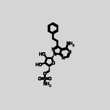 Nc1ncnc2c1c(CCc1ccccc1)nn2[C@@H]1O[C@H](COS(N)(=O)=O)[C@@H](O)[C@H]1O